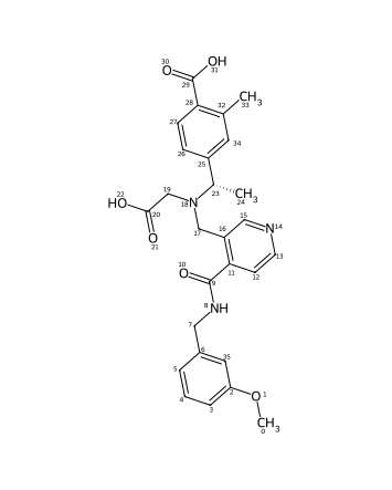 COc1cccc(CNC(=O)c2ccncc2CN(CC(=O)O)[C@@H](C)c2ccc(C(=O)O)c(C)c2)c1